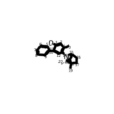 Cc1cc2oc3ccccc3c2cc1N1C2CCC(C)(C2)[C@@H]1C